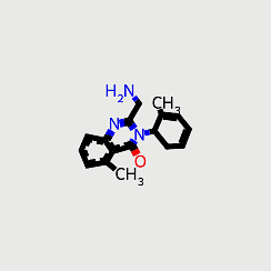 CC1=CC=CCC1n1c(CN)nc2cccc(C)c2c1=O